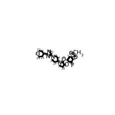 CS(=O)(=O)c1ccc(O[C@H]2CCN(C3CCN(c4nc(C5CCOCC5)ns4)CC3)C2=O)c(F)c1